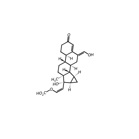 C[C@]12CC[C@H]3[C@@H](CC(=CO)C4=CC(=O)CC[C@@H]43)[C@@H]1[C@H]1C[C@H]1[C@@]2(O)/C=C\OC(=O)O